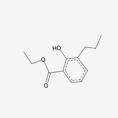 CCCc1cccc(C(=O)OCC)c1O